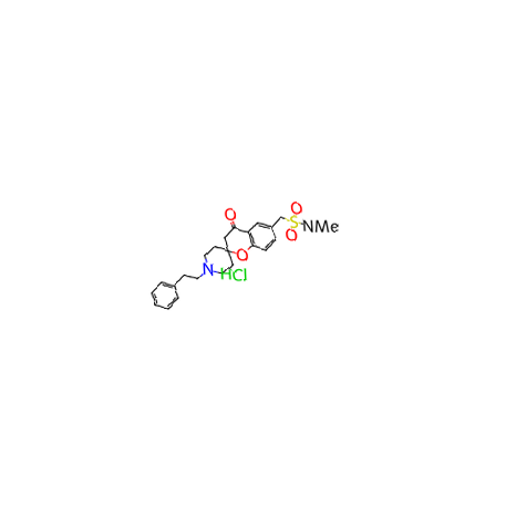 CNS(=O)(=O)Cc1ccc2c(c1)C(=O)CC1(CCN(CCc3ccccc3)CC1)O2.Cl